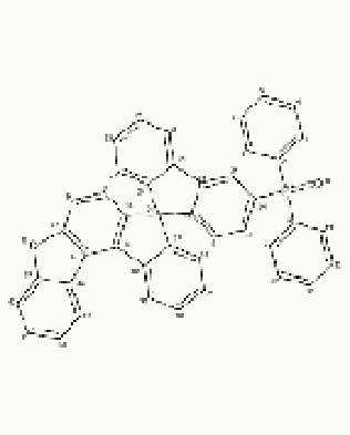 O=P(c1ccccc1)(c1ccccc1)c1ccc2c(c1)-c1ccccc1C21c2ccccc2-c2c1ccc1oc3ccccc3c21